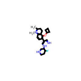 CC1CCc2c(ccc(/C(C=N)=C/NC3CNCCC3F)c2OC2CCC2)N1C